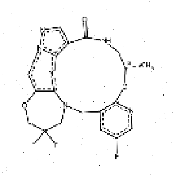 C[C@H]1CNC(=O)c2cnn3cc4c(nc23)N(Cc2cc(F)cnc2O1)CC(F)(F)CO4